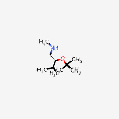 CNC[C@H](OC(C)(C)C)C(C)C